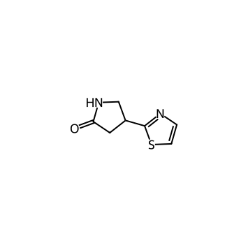 O=C1CC(c2nccs2)CN1